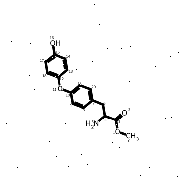 COC(=O)C(N)Cc1ccc(Oc2ccc(O)cc2)cc1